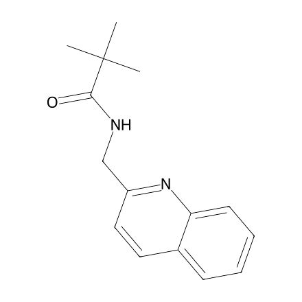 CC(C)(C)C(=O)NCc1ccc2ccccc2n1